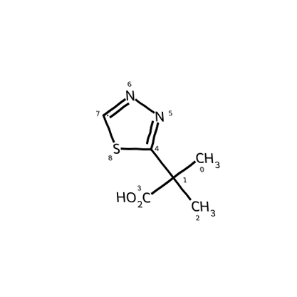 CC(C)(C(=O)O)c1nn[c]s1